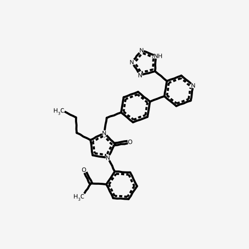 CCCc1cn(-c2ccccc2C(C)=O)c(=O)n1Cc1ccc(-c2ccncc2-c2nnn[nH]2)cc1